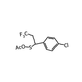 CC(=O)OSC(CC(F)(F)F)c1ccc(Cl)cc1